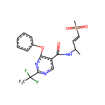 CC(/C=C/S(C)(=O)=O)NC(=O)c1cnc(C(F)(F)C(F)(F)F)nc1Oc1ccccc1